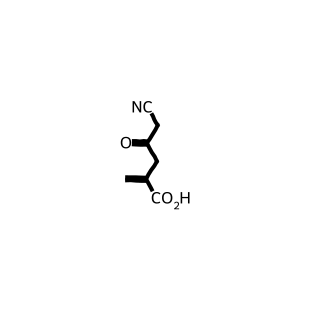 C=C(CC(=O)CC#N)C(=O)O